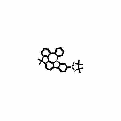 CC1(C)c2cccc3c2-c2c1ccc1c4ccc(B5OC(C)(C)C(C)(C)O5)cc4n(c21)-c1ccccc1-3